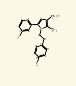 Cc1c(C(=O)O)cc(-c2cccc(F)c2)n1CCc1ccc(F)cc1